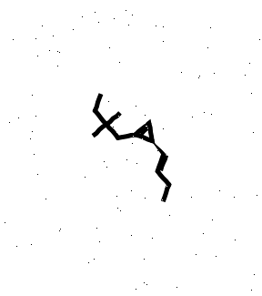 CC/C=C/[C@@H]1C=C1CC(C)(C)CC